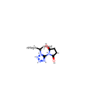 CCCCCCCC(CCCCCCC)n1nnnc1N1C(=O)CCC1=O